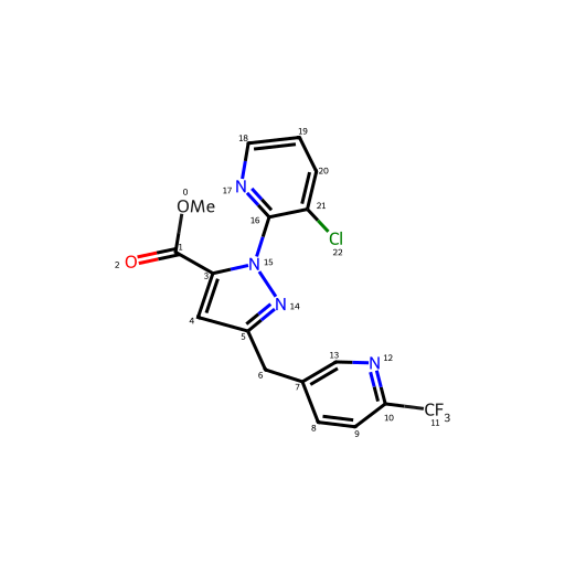 COC(=O)c1cc(Cc2ccc(C(F)(F)F)nc2)nn1-c1ncccc1Cl